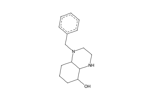 OC1CCCC2C1NCCN2Cc1ccccc1